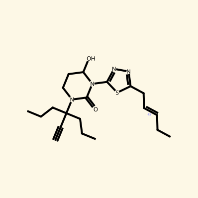 C#CC(CCC)(CCC)N1CCC(O)N(c2nnc(C/C=C/CC)s2)C1=O